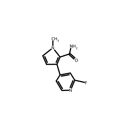 Cn1ccc(-c2ccnc(F)c2)c1C(N)=O